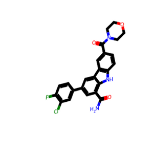 NC(=O)c1cc(-c2ccc(F)c(Cl)c2)cc2c1[nH]c1ccc(C(=O)N3CCOCC3)cc12